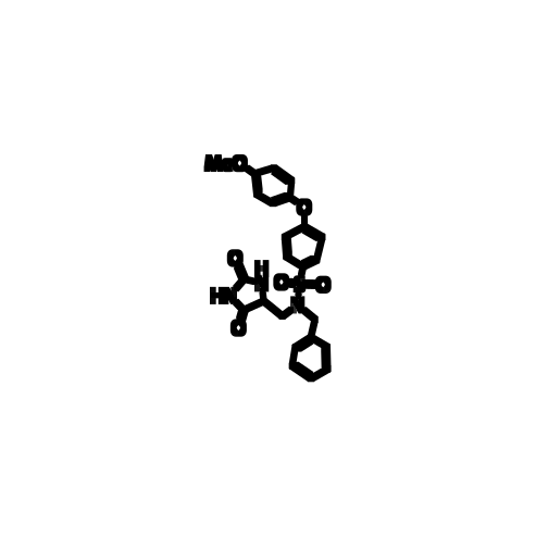 COc1ccc(Oc2ccc(S(=O)(=O)N(Cc3ccccc3)CC3NC(=O)NC3=O)cc2)cc1